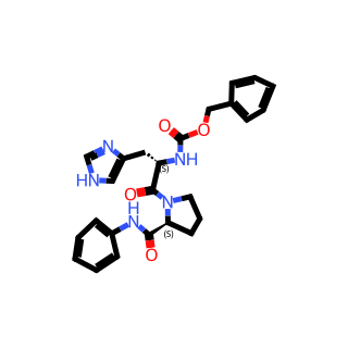 O=C(N[C@@H](Cc1c[nH]cn1)C(=O)N1CCC[C@H]1C(=O)Nc1ccccc1)OCc1ccccc1